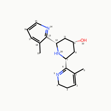 CC1=CCCN=C1[C@H]1C[C@@H](O)C[C@@H](c2ncccc2C)N1